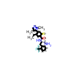 CCC1=C(c2c(C)cnn2C)CC(=S)C(C(=O)N[C@H](CN)Cc2ccccc2C(F)(F)F)=C1